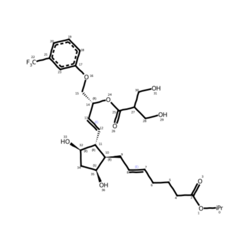 CC(C)OC(=O)CCC/C=C/C[C@@H]1[C@@H](/C=C/[C@H](COc2cccc(C(F)(F)F)c2)OC(=O)C(CO)CO)[C@H](O)C[C@@H]1O